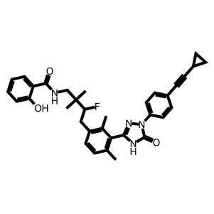 Cc1ccc(CC(F)C(C)(C)CNC(=O)c2ccccc2O)c(C)c1-c1nn(-c2ccc(C#CC3CC3)cc2)c(=O)[nH]1